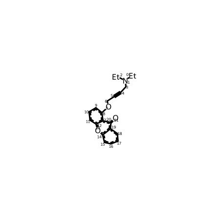 CCN(CC)CC#CCOc1cccc2oc3ccccc3c(=O)c12